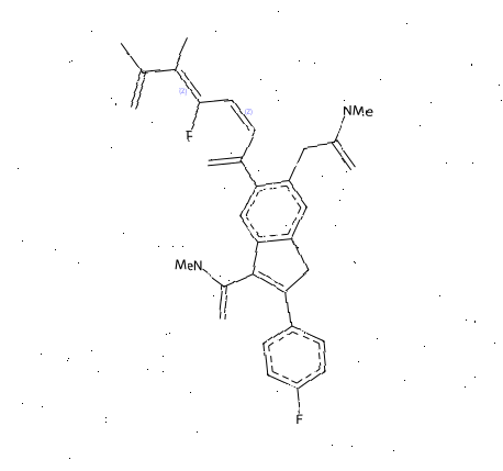 C=C(Cc1cc2c(cc1C(=C)/C=C\C(F)=C(/C)C(=C)C)C(C(=C)NC)=C(c1ccc(F)cc1)C2)NC